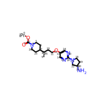 CC(C)OC(=O)N1CCC([C@H](C)CCOc2cnc(N3CC[C@@H](N)C3)nc2)CC1